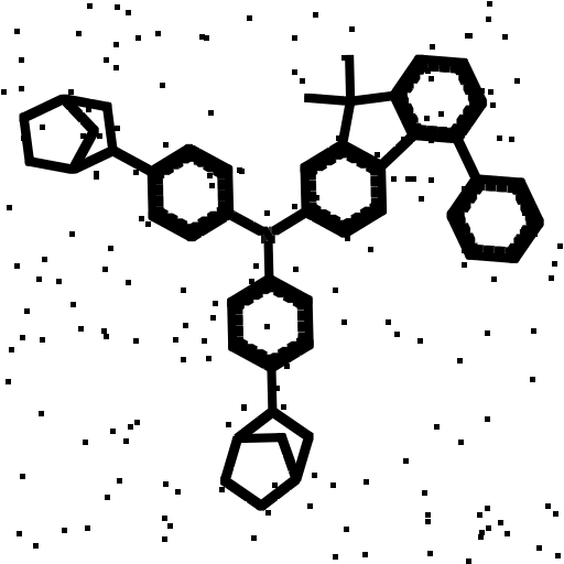 CC1(C)c2cc(N(c3ccc(C4CC5CCC4C5)cc3)c3ccc(C4CC5CCC4C5)cc3)ccc2-c2c(-c3ccccc3)cccc21